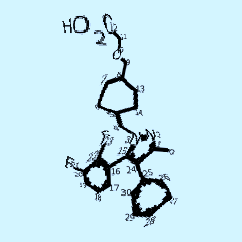 Cc1nn(CC2CCC(COCC(=O)O)CC2)c(-c2cccc(F)c2F)c1-c1ccccc1